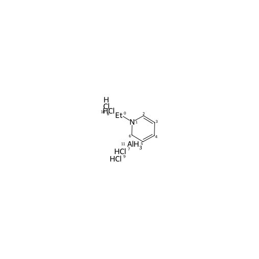 CCN1C=CC=CC1.Cl.Cl.Cl.Cl.[AlH3]